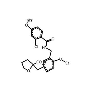 CCCOc1ccc(C(=O)NCc2cc(CC3(C(=O)O)CCCO3)ccc2OCC)c(Cl)c1